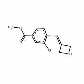 COC(=O)c1ccc(C=C2CNC2)c(Cl)c1